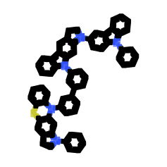 c1ccc(-n2ccc3cc4c(cc32)N(c2cccc(-c3cccc(-n5c6ccccc6c6cc7ccn(-c8ccc9c(c8)c8ccccc8n9-c8ccccc8)c7cc65)c3)c2)c2ccccc2S4)cc1